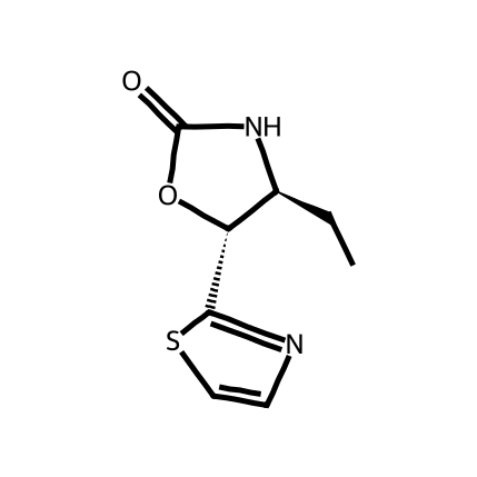 CC[C@@H]1NC(=O)O[C@H]1c1nccs1